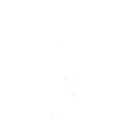 O=C(Nc1ccc(OCCc2ccccc2)cc1)c1cc(Br)ccn1